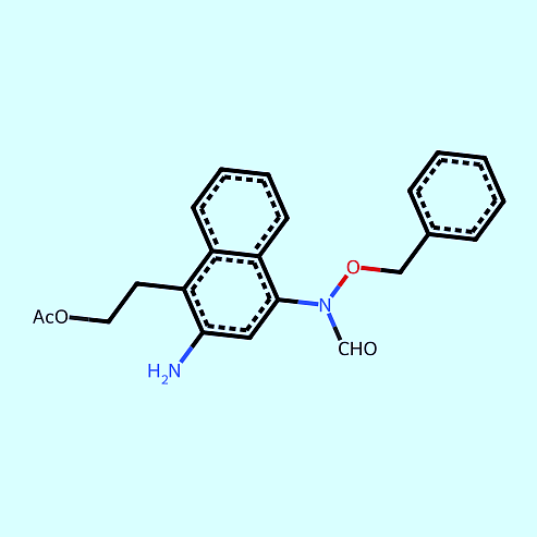 CC(=O)OCCc1c(N)cc(N(C=O)OCc2ccccc2)c2ccccc12